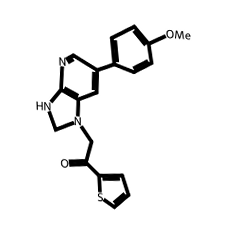 COc1ccc(-c2cnc3c(c2)N(CC(=O)c2cccs2)CN3)cc1